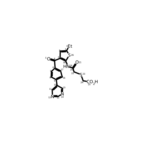 CCc1cc(C(=O)c2ccc(-c3cncnc3)cc2)c(NC(=O)CSCC(=O)O)s1